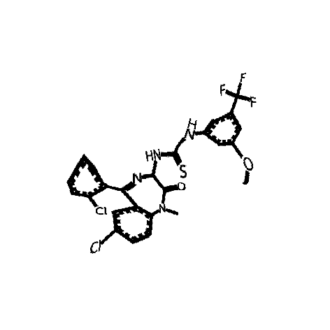 COc1cc(NC(=S)NC2N=C(c3ccccc3Cl)c3cc(Cl)ccc3N(C)C2=O)cc(C(F)(F)F)c1